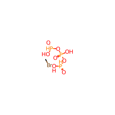 CBr.O=[PH](O)OP(=O)(O)O[PH](=O)O